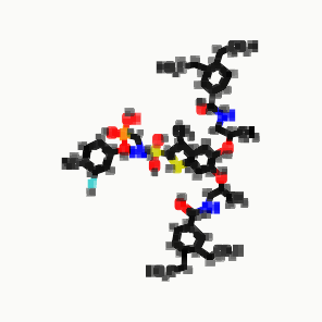 Cc1c(S(=O)(=O)NCP(=O)(O)Oc2ccc(C#N)c(F)c2)sc2cc(OC(C)CNC(=O)c3ccc(CC(=O)O)c(CC(=O)O)c3)c(OC(C)CNC(=O)c3ccc(CC(=O)O)c(CC(=O)O)c3)cc12